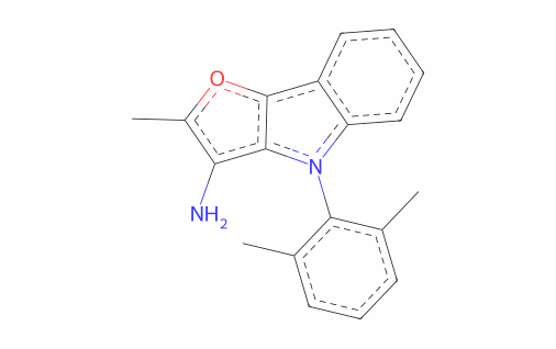 Cc1cccc(C)c1-n1c2ccccc2c2oc(C)c(N)c21